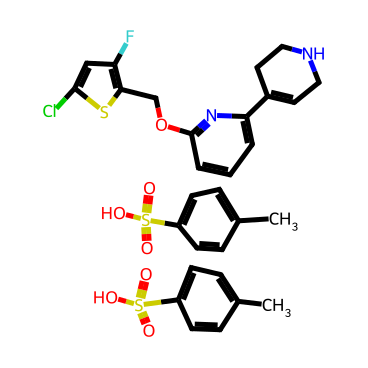 Cc1ccc(S(=O)(=O)O)cc1.Cc1ccc(S(=O)(=O)O)cc1.Fc1cc(Cl)sc1COc1cccc(C2=CCNCC2)n1